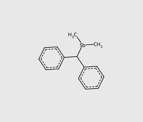 [CH3][Sb]([CH3])[CH](c1ccccc1)c1ccccc1